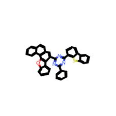 c1ccc(-c2nc(-c3cccc4c3sc3ccccc34)nc(-c3cc4ccc5ccccc5c4c4oc5ccccc5c34)n2)cc1